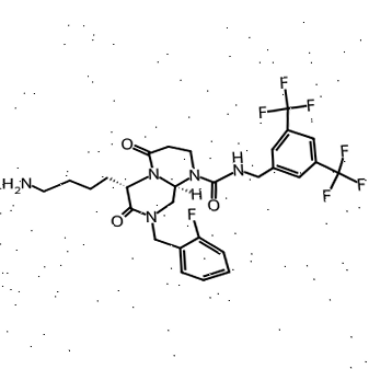 NCCCC[C@H]1C(=O)N(Cc2ccccc2F)C[C@@H]2N(C(=O)NCc3cc(C(F)(F)F)cc(C(F)(F)F)c3)CCC(=O)N21